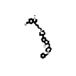 N#Cc1ccc2[nH]cc(CCCCN3CCC(c4ccc5c(c4)CC(CC4CCN(Cc6ccccc6)CC4)C5=O)CC3)c2c1